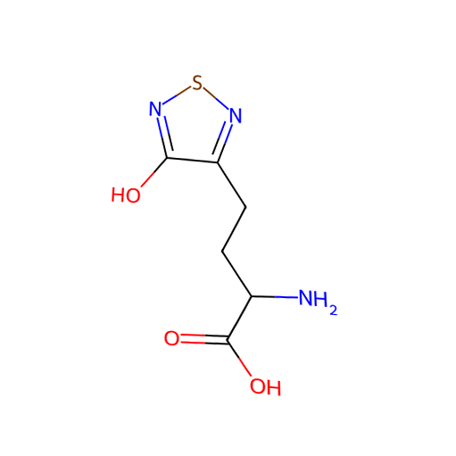 NC(CCc1nsnc1O)C(=O)O